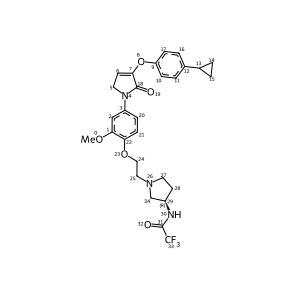 COc1cc(N2CC=C(Oc3ccc(C4CC4)cc3)C2=O)ccc1OCCN1CC[C@@H](NC(=O)C(F)(F)F)C1